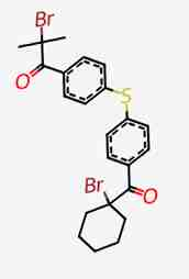 CC(C)(Br)C(=O)c1ccc(Sc2ccc(C(=O)C3(Br)CCCCC3)cc2)cc1